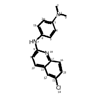 CN(C)c1ccc(Nc2ccc3cc(Cl)ccc3n2)cc1